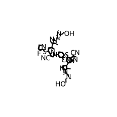 Cc1c(-c2cc(Sc3ccc(-[n+]4cc(C#N)c5c(Sc6ncccc6F)cc(-c6cnn([C@@H](C)CN(C)CCO)c6C)cn54)cc3C#N)c3c(C#N)cnn3c2)cnn1[C@@H](C)CN(C)CCO